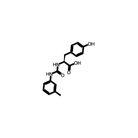 Cc1cccc(NC(=O)N[C@@H](Cc2ccc(O)cc2)C(=O)O)c1